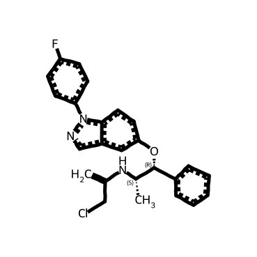 C=C(CCl)N[C@@H](C)[C@H](Oc1ccc2c(cnn2-c2ccc(F)cc2)c1)c1ccccc1